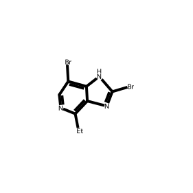 CCc1ncc(Br)c2[nH]c(Br)nc12